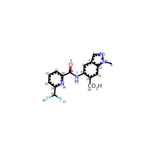 Cn1ncc2cc(NC(=O)c3cccc(C(F)F)n3)c(C(=O)O)cc21